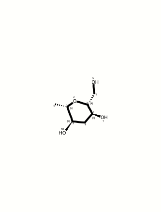 C[C@@H]1O[C@H](CO)[C@@H](O)C[C@H]1O